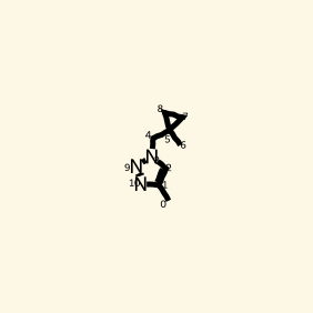 Cc1cn(CC2(C)CC2)nn1